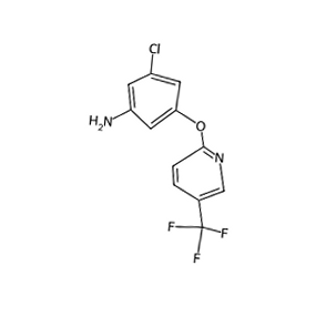 Nc1cc(Cl)cc(Oc2ccc(C(F)(F)F)cn2)c1